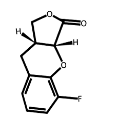 O=C1OC[C@H]2Cc3cccc(F)c3O[C@@H]12